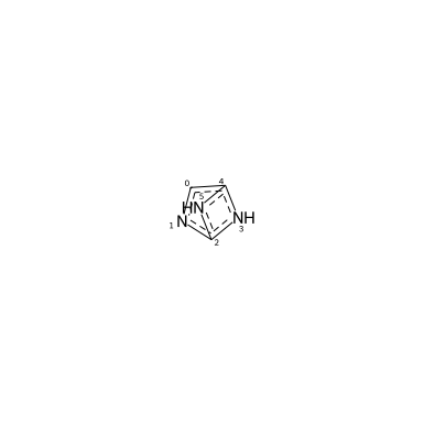 c1nc2[nH]c1[nH]2